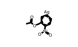 CC(=O)Oc1ccccc1[N+](=O)[O-].[Ag]